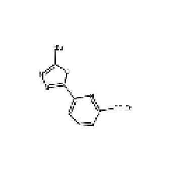 CCOC(=O)c1cccc(-c2nnc(C(C)(C)C)o2)n1